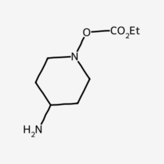 CCOC(=O)ON1CCC(N)CC1